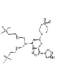 C[Si](C)(C)CCOCN(COCC[Si](C)(C)C)c1cc(N2CCS(=O)(=O)CC2)nc2c(-c3cn[nH]c3)cnn12